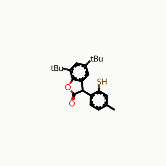 Cc1ccc(C2C(=O)Oc3c2cc(C(C)(C)C)cc3C(C)(C)C)c(S)c1